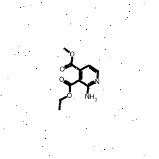 CCOC(=O)c1c(C(=O)OC)ccnc1N